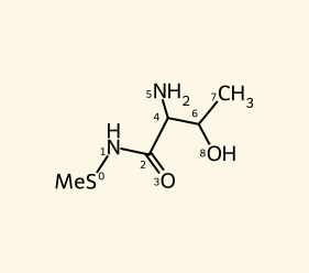 CSNC(=O)C(N)C(C)O